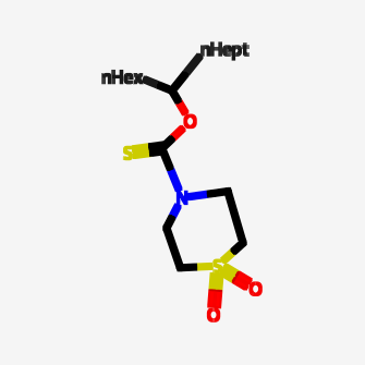 CCCCCCCC(CCCCCC)OC(=S)N1CCS(=O)(=O)CC1